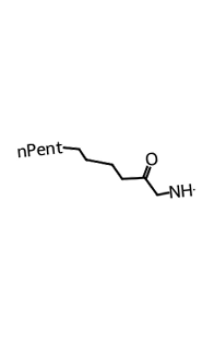 CCCCCCCCCC(=O)C[NH]